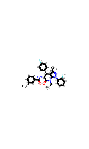 CCN1C(=O)[C@@H](NC(=O)c2cccc(C)c2)[C@@H](c2ccc(F)cc2)c2c(C)nn(-c3ccccc3F)c21